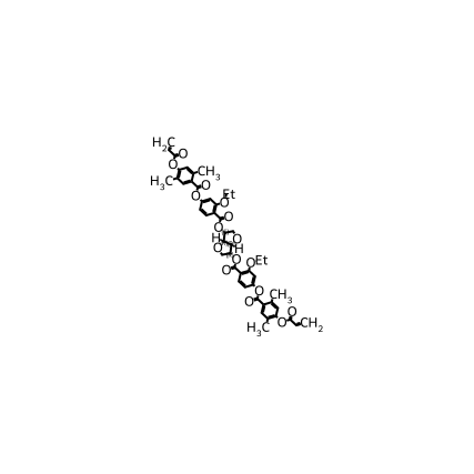 C=CC(=O)Oc1cc(C)c(C(=O)Oc2ccc(C(=O)O[C@H]3CO[C@H]4[C@@H]3OC[C@H]4OC(=O)c3ccc(OC(=O)c4cc(C)c(OC(=O)C=C)cc4C)cc3OCC)c(OCC)c2)cc1C